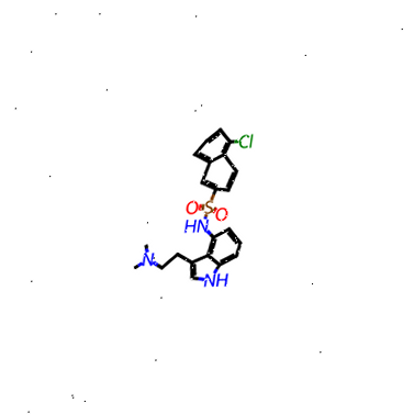 CN(C)CCc1c[nH]c2cccc(NS(=O)(=O)c3ccc4c(Cl)cccc4c3)c12